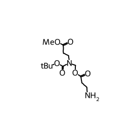 COC(=O)CCN(COC(=O)CCN)C(=O)OC(C)(C)C